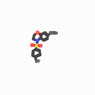 COc1ccc2c(c1)OCCN2S(=O)(=O)c1ccc(C(C)C)cc1